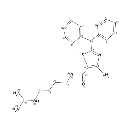 Cc1nc(C(c2ccccc2)c2ccccc2)sc1C(=O)NCCCCNC(N)N